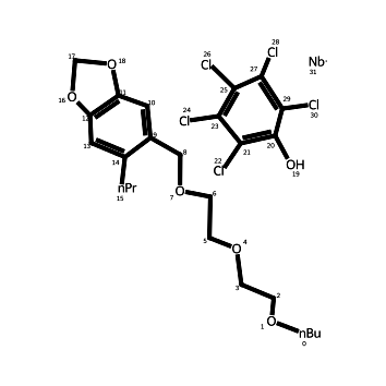 CCCCOCCOCCOCc1cc2c(cc1CCC)OCO2.Oc1c(Cl)c(Cl)c(Cl)c(Cl)c1Cl.[Nb]